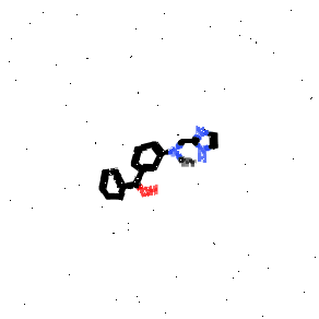 CC(C)N(Cc1ncc[nH]1)c1cccc(C(O)c2ccccc2)c1